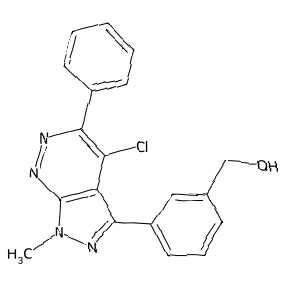 Cn1nc(-c2cccc(CO)c2)c2c(Cl)c(-c3ccccc3)nnc21